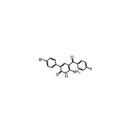 Nc1[nH]c(=O)c(-c2ccc(Br)cc2)cc1C(=O)c1ccc(F)cc1